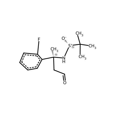 CC(C)(C)[S@@+]([O-])N[C@@](C)(CC=O)c1ccccc1F